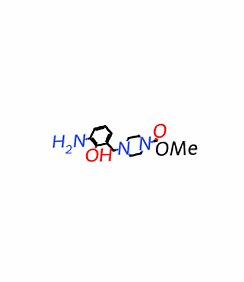 COC(=O)N1CCN(Cc2cccc(N)c2O)CC1